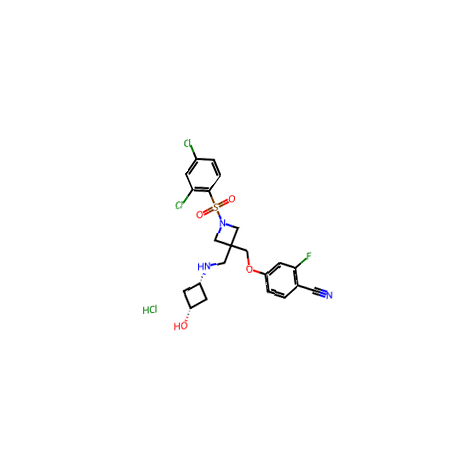 Cl.N#Cc1ccc(OCC2(CN[C@H]3C[C@@H](O)C3)CN(S(=O)(=O)c3ccc(Cl)cc3Cl)C2)cc1F